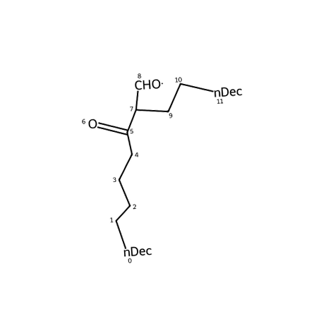 CCCCCCCCCCCCCCC(=O)C([C]=O)CCCCCCCCCCCC